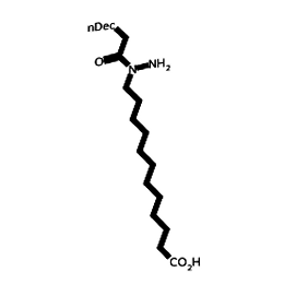 CCCCCCCCCCCC(=O)N(N)CCCCCCCCCCCC(=O)O